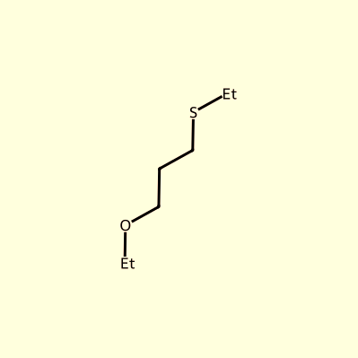 CCOCCCSCC